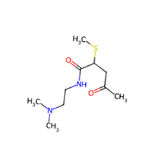 CSC(CC(C)=O)C(=O)NCCN(C)C